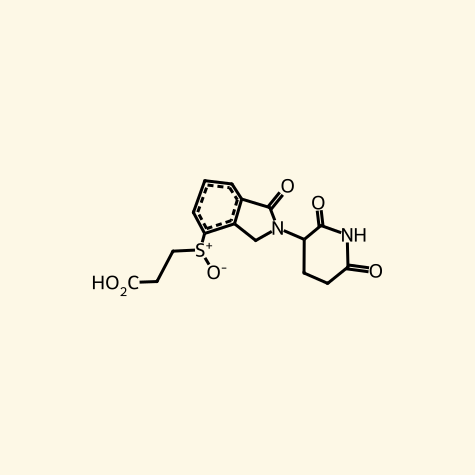 O=C(O)CC[S+]([O-])c1cccc2c1CN(C1CCC(=O)NC1=O)C2=O